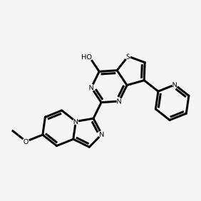 COc1ccn2c(-c3nc(O)c4scc(-c5ccccn5)c4n3)ncc2c1